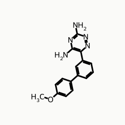 COc1ccc(-c2cccc(-c3nnc(N)nc3N)c2)cc1